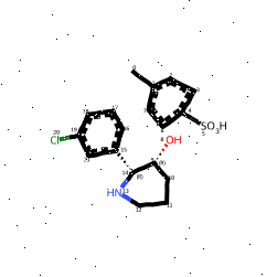 Cc1ccc(S(=O)(=O)O)cc1.O[C@@H]1CCCN[C@@H]1c1cccc(Cl)c1